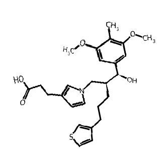 COc1cc([C@@H](O)[C@@H](CCCc2ccsc2)Cn2ccc(CCC(=O)O)c2)cc(OC)c1C